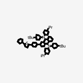 CC(C)c1ccc(N(c2ccc(C(C)(C)C)cc2)c2c3ccccc3c(N(c3ccc(C(C)C)cc3)c3ccc(C(C)(C)C)cc3)c3cc(-c4ccc(-c5ccc(-c6ccccc6)s5)cc4)ccc23)cc1